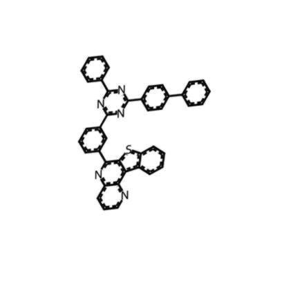 c1ccc(-c2ccc(-c3nc(-c4ccccc4)nc(-c4cccc(-c5nc6cccnc6c6c5sc5ccccc56)c4)n3)cc2)cc1